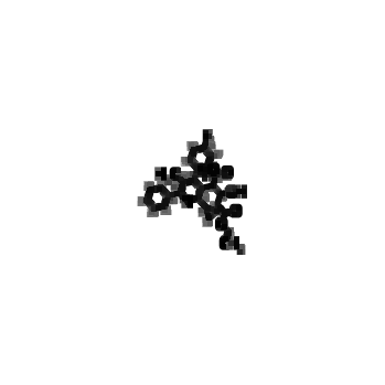 C=COC(=O)CC(O)C(c1c(C2CC2)nc(-c2ccccc2)c(C)c1-c1ccc(F)cc1)[PH](=O)O